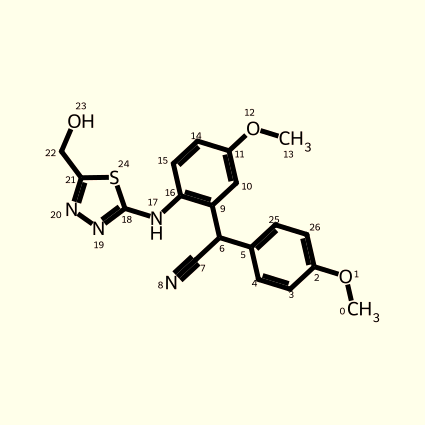 COc1ccc(C(C#N)c2cc(OC)ccc2Nc2nnc(CO)s2)cc1